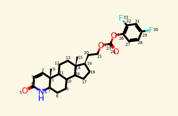 C[C@]12C=CC(=O)NC1CCC1C2CC[C@@]2(C)C1CC[C@@H]2CCOC(=O)Oc1ccc(F)cc1F